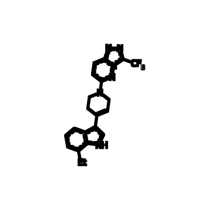 CCc1cccc2c(C3=CCN(c4ccc5nnc(C(F)(F)F)n5n4)CC3)c[nH]c12